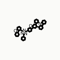 c1ccc(-c2nc(-c3ccc4c(c3)oc3ccc(-c5cccc6c7ccccc7n(-c7ccccc7)c56)cc34)nc(-c3cccc4oc5ccccc5c34)n2)cc1